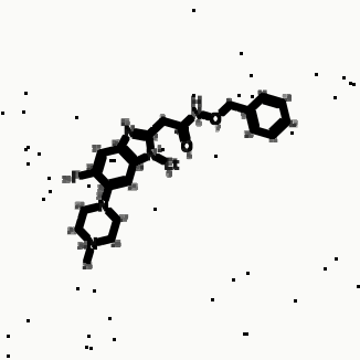 CCn1c(CC(=O)NOCc2ccccc2)nc2cc(F)c(N3CCN(C)CC3)cc21